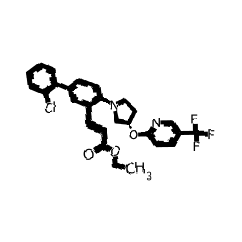 CCOC(=O)/C=C/c1cc(-c2ccccc2Cl)ccc1N1CC[C@H](Oc2ccc(C(F)(F)F)cn2)C1